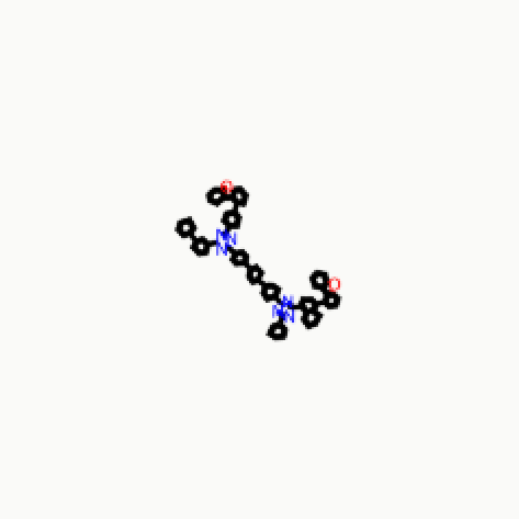 c1ccc(-c2cccc(-c3nc(-c4ccc(-c5ccc(-c6ccc(-c7nc(-c8ccccc8)nc(-c8ccc(-c9cccc%10oc%11ccccc%11c9%10)c9ccccc89)n7)cc6)cc5)cc4)nc(-c4ccc(-c5cccc6oc7ccccc7c56)cc4)n3)c2)cc1